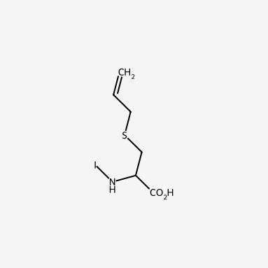 C=CCSCC(NI)C(=O)O